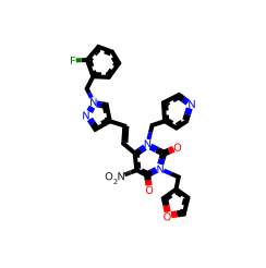 O=c1c([N+](=O)[O-])c(C=Cc2cnn(Cc3ccccc3F)c2)n(Cc2ccncc2)c(=O)n1Cc1ccoc1